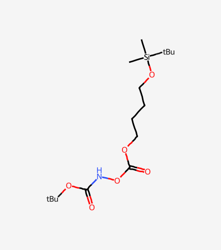 CC(C)(C)OC(=O)NOC(=O)OCCCCO[Si](C)(C)C(C)(C)C